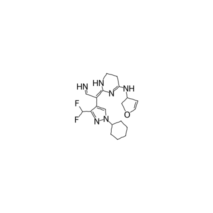 N=C/C(=C1/N=C(NC2C=COC2)CCN1)c1cn(C2CCCCC2)nc1C(F)F